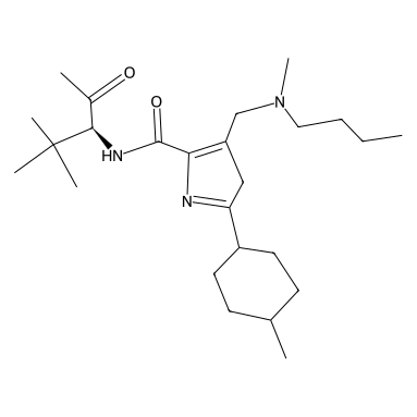 CCCCN(C)CC1=C(C(=O)N[C@H](C(C)=O)C(C)(C)C)N=C(C2CCC(C)CC2)C1